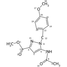 COC(=O)c1cc(NC(C)=O)n(Cc2ccc(OC)cc2)n1